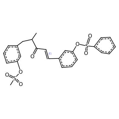 CC(Cc1cccc(OS(C)(=O)=O)c1)C(=O)/C=C/c1cccc(OS(=O)(=O)c2ccccc2)c1